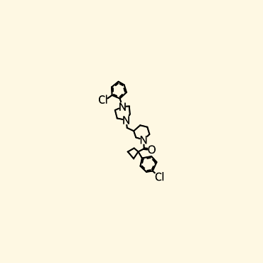 O=C(N1CCCC(CN2CCN(c3ccccc3Cl)CC2)C1)C1(c2ccc(Cl)cc2)CCC1